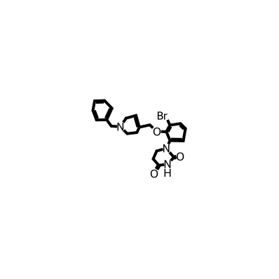 O=C1CCN(c2cccc(Br)c2OCC2=CCN(Cc3ccccc3)CC2)C(=O)N1